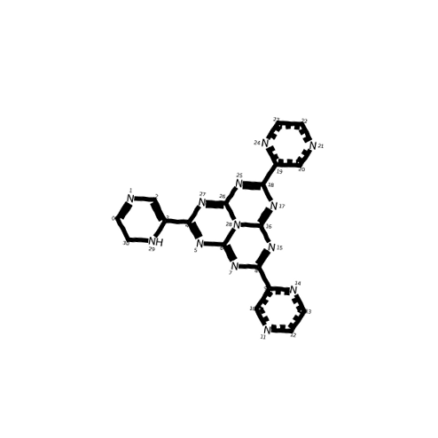 C1=NC=C(C2=NC3=NC(c4cnccn4)=NC4=NC(c5cnccn5)=NC(=N2)N34)NC1